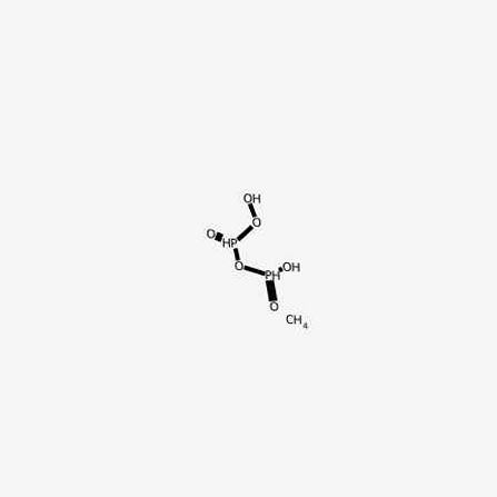 C.O=[PH](O)O[PH](=O)OO